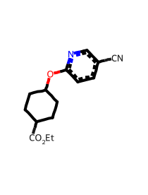 CCOC(=O)C1CCC(Oc2ccc(C#N)cn2)CC1